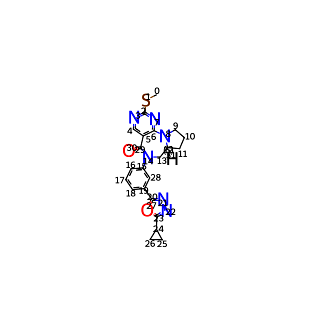 CSc1ncc2c(n1)N1CCC[C@H]1CN(c1cccc(-c3nnc(C4CC4)o3)c1)C2=O